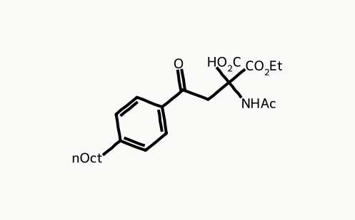 CCCCCCCCc1ccc(C(=O)CC(NC(C)=O)(C(=O)O)C(=O)OCC)cc1